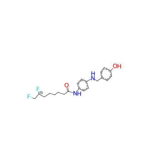 O=C(CCCCC[C@H](F)CF)Nc1ccc(NCc2ccc(O)cc2)cc1